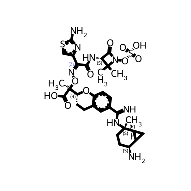 CC1(C)[C@H](NC(=O)/C(=N\O[C@](C)(C(=O)O)[C@H]2CCc3cc(C(=N)N[C@@]4(C)CC[C@H](N)C5C[C@H]54)ccc3O2)c2csc(N)n2)C(=O)N1OS(=O)(=O)O